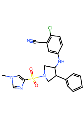 Cn1cnc(S(=O)(=O)N2CC(Nc3ccc(Cl)c(C#N)c3)C(c3ccccc3)C2)c1